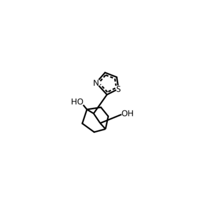 OC1C2CCC(O)(CC2)C1c1nccs1